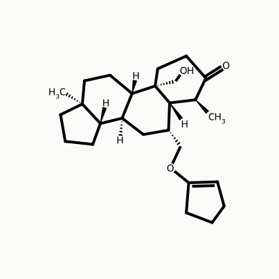 C[C@@H]1C(=O)CC[C@@]2(CO)[C@H]1[C@H](COC1=CCCC1)C[C@H]1[C@@H]3CCC[C@@]3(C)CC[C@@H]12